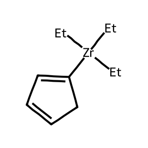 C[CH2][Zr]([CH2]C)([CH2]C)[C]1=CC=CC1